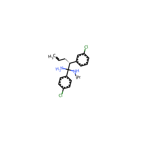 C=CC[C@H](c1cccc(Cl)c1)C(N)(NC(C)C)c1ccc(Cl)cc1